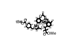 COC(=O)C(C)(C)C(OCc1cn(CC2CCN(C(=O)OC(C)(C)C)CC2)nn1)c1ccc(C)c(CN2CC(C)Oc3ccccc3S2(O)O)c1